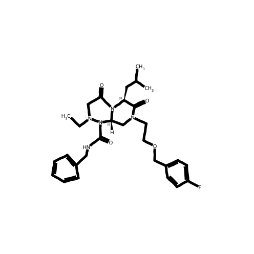 CCN1CC(=O)N2[C@@H](CC(C)C)C(=O)N(CCOCc3ccc(F)cc3)C[C@@H]2N1C(=O)NCc1ccccc1